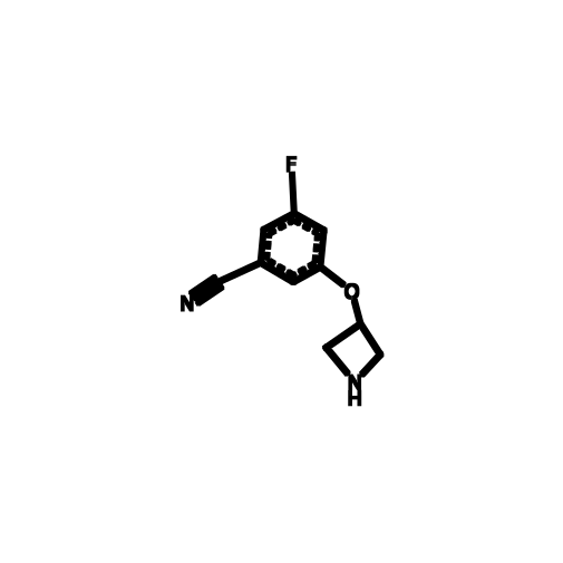 N#Cc1cc(F)cc(OC2CNC2)c1